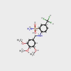 COc1cc(CNc2ccc(C(F)(F)F)cc2S(N)(=O)=O)cc(OC)c1OC